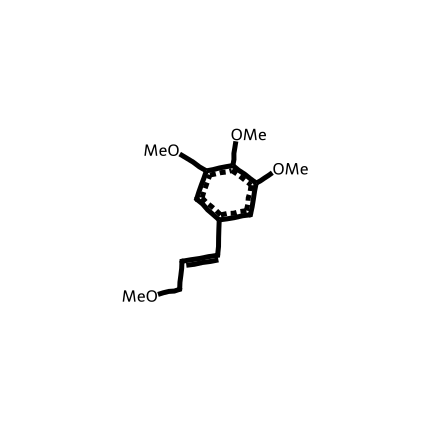 COCC=Cc1cc(OC)c(OC)c(OC)c1